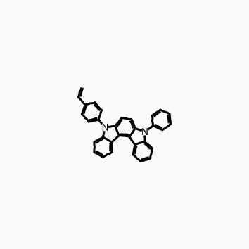 C=Cc1ccc(-n2c3ccccc3c3c4c5ccccc5n(-c5ccccc5)c4ccc32)cc1